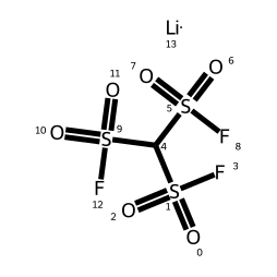 O=S(=O)(F)C(S(=O)(=O)F)S(=O)(=O)F.[Li]